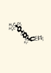 CCC(C)(CC)c1nc2cc3nc(-c4ccc(C(C)(C)C)cc4)oc3cc2o1